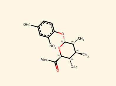 COC(=O)[C@H]1O[C@H](Oc2ccc(C=O)cc2[N+](=O)[O-])[C@H](C)[C@@H](C)[C@@H]1OC(C)=O